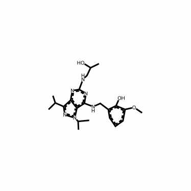 COc1cccc(CNc2nc(NCC(C)O)nc3c(C(C)C)nn(C(C)C)c23)c1O